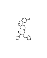 O=C(C(CN1CCC2(CC1)OCc1ccc(F)cc12)Cn1cccn1)N1CCC1